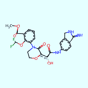 COC(=O)c1cccc(N2CCO[C@H]([C@@H](O)C(=O)Nc3ccc4c(c3)CNC4=N)C2=O)c1OC(F)F